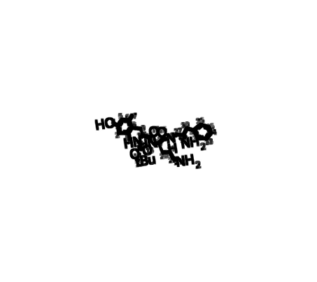 Cc1cc(O)cc(C)c1C[C@H](NC(=O)OC(C)(C)C)C(=O)N[C@H](CCCN)C(=O)NC[C@@H](N)Cc1ccccc1